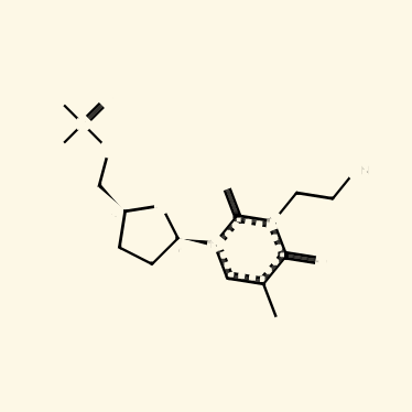 Cc1cn([C@H]2CC[C@@H](COP(=O)(O)O)O2)c(=O)n(CCC#N)c1=O